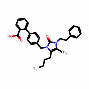 CCCCc1c(C)n(CCc2ccccc2)c(=O)n1Cc1ccc(-c2ccccc2C(=O)O)cc1